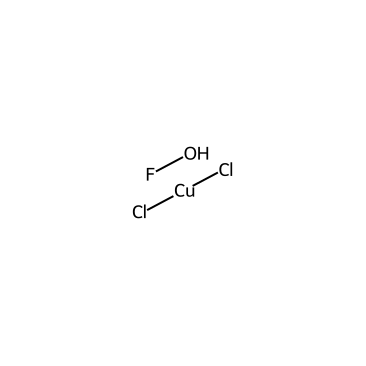 OF.[Cl][Cu][Cl]